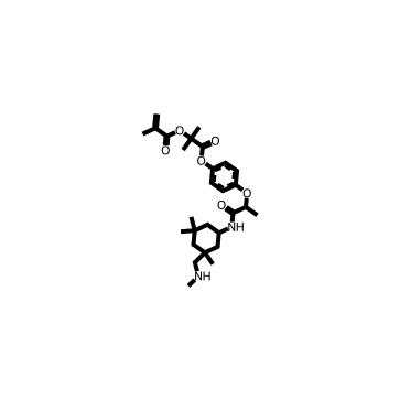 C=C(C)C(=O)OC(C)(C)C(=O)Oc1ccc(OC(C)C(=O)NC2CC(C)(C)CC(C)(CNC)C2)cc1